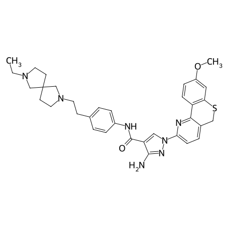 CCN1CCC2(CCN(CCc3ccc(NC(=O)c4cn(-c5ccc6c(n5)-c5ccc(OC)cc5SC6)nc4N)cc3)C2)C1